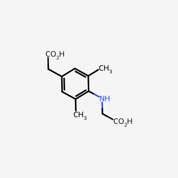 Cc1cc(CC(=O)O)cc(C)c1NCC(=O)O